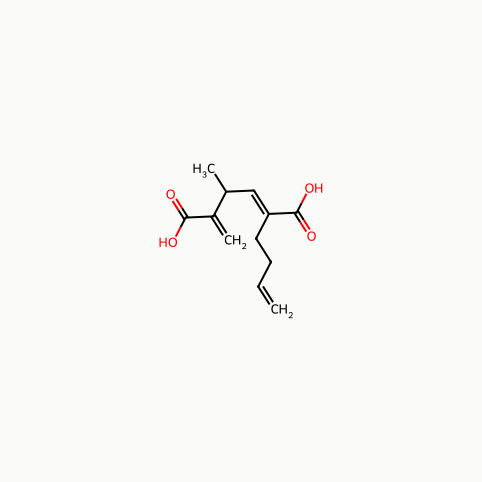 C=CCCC(=CC(C)C(=C)C(=O)O)C(=O)O